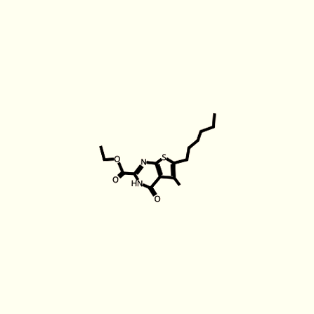 CCCCCCc1sc2nc(C(=O)OCC)[nH]c(=O)c2c1C